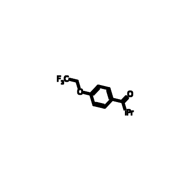 CC(C)C(=O)c1ccc(OCC(F)(F)F)cc1